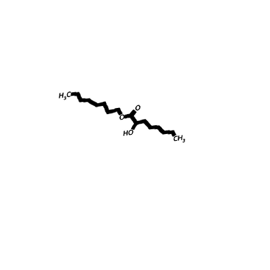 CCCCCCCCOC(=O)C(O)CCCCCC